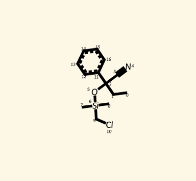 CCC(C#N)(O[Si](C)(C)CCl)c1ccccc1